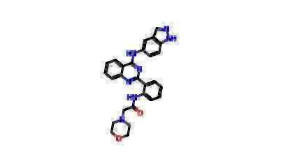 O=C(CN1CCOCC1)Nc1ccccc1-c1nc(Nc2ccc3[nH]ncc3c2)c2ccccc2n1